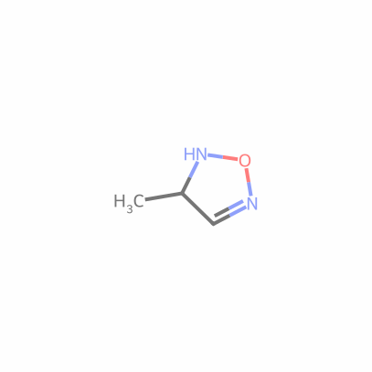 CC1C=NON1